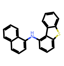 c1ccc2c(Nc3cccc4sc5ccccc5c34)cccc2c1